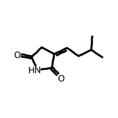 CC(C)CC=C1CC(=O)NC1=O